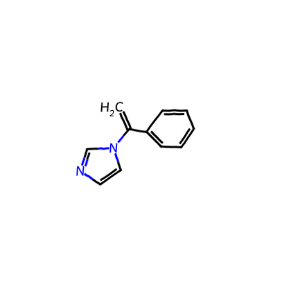 C=C(c1ccccc1)n1ccnc1